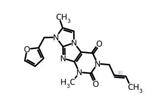 C/C=C/Cn1c(=O)c2c(nc3n(Cc4ccco4)c(C)cn23)n(C)c1=O